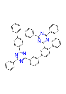 c1ccc(-c2ccc(-c3nc(-c4ccccc4)nc(-c4cccc(-c5ccc(-c6ccccc6)c(-c6nc(-c7ccccc7)nc(-c7ccccc7)n6)c5)c4)n3)cc2)cc1